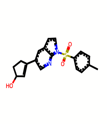 Cc1ccc(S(=O)(=O)n2ccc3cc(C4=CC(O)CC4)cnc32)cc1